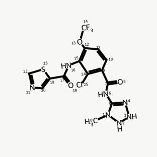 CN1NNN=C1NC(=O)c1ccc(OC(F)(F)F)c(NC(=O)c2cncs2)c1Cl